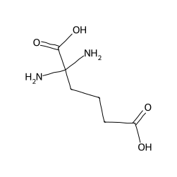 NC(N)(CCCC(=O)O)C(=O)O